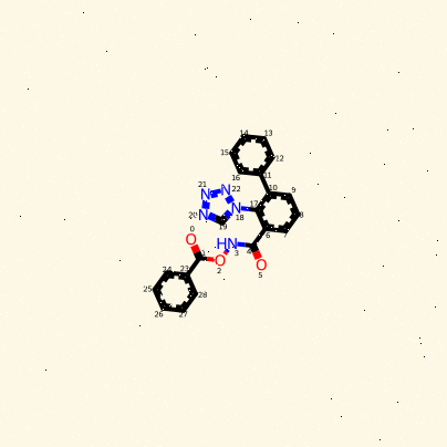 O=C(ONC(=O)c1cccc(-c2ccccc2)c1-n1cnnn1)c1ccccc1